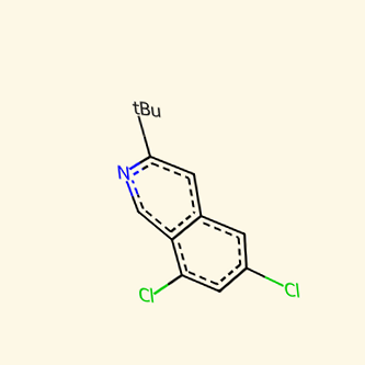 CC(C)(C)c1cc2cc(Cl)cc(Cl)c2cn1